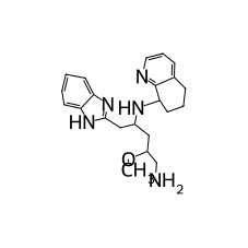 COC(CN)CC(Cc1nc2ccccc2[nH]1)NC1CCCc2cccnc21